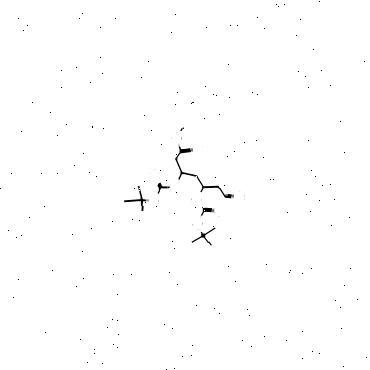 COC(=O)CC(CC(CC=O)OC(=O)OC(C)(C)C)OC(=O)OC(C)(C)C